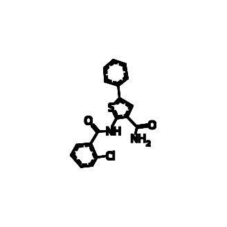 NC(=O)c1cc(-c2ccccc2)sc1NC(=O)c1ccccc1Cl